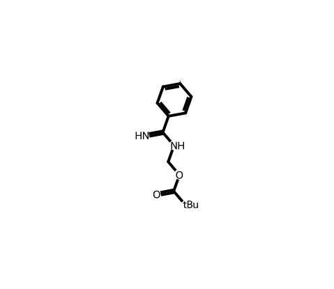 CC(C)(C)C(=O)OCNC(=N)c1cc[c]cc1